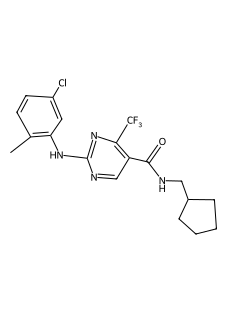 Cc1ccc(Cl)cc1Nc1ncc(C(=O)NCC2CCCC2)c(C(F)(F)F)n1